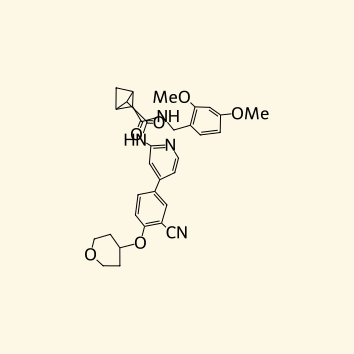 COc1ccc(CNC(=O)C2C3CC2C3C(=O)Nc2cc(-c3ccc(OC4CCOCC4)c(C#N)c3)ccn2)c(OC)c1